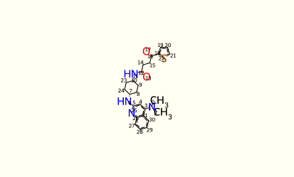 CN(C)c1cc(N[C@H]2CC[C@@H](NC(=O)CCC(=O)c3cccs3)CC2)nc2ccccc12